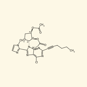 CCCCC#Cc1nc(Cl)c2nc(-c3nccn3C)n([C@@H]3OC[C@@H](OC(C)=O)[C@H]3OC(C)=O)c2n1